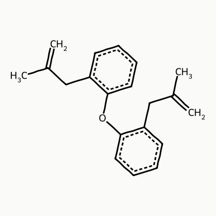 C=C(C)Cc1ccccc1Oc1ccccc1CC(=C)C